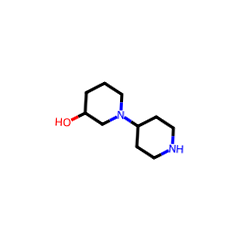 OC1CCCN(C2CCNCC2)C1